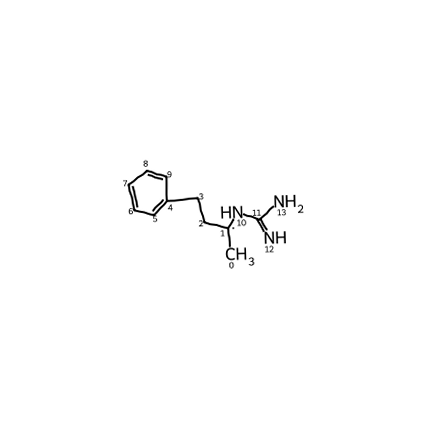 C[C](CCc1ccccc1)NC(=N)N